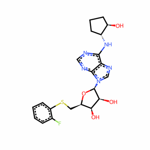 O[C@@H]1[C@H](O)[C@H](n2cnc3c(N[C@@H]4CCC[C@H]4O)ncnc32)O[C@@H]1CSc1ccccc1F